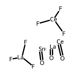 [F][Ce]([F])[F].[F][La]([F])[F].[O]=[Ce].[O]=[La].[O]=[Sn]